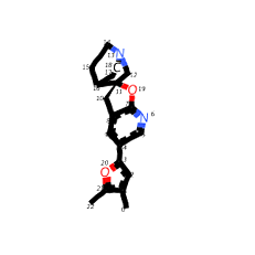 Cc1cc(-c2cnc3c(c2)C[C@@]2(CN4CCC2CC4)O3)oc1C